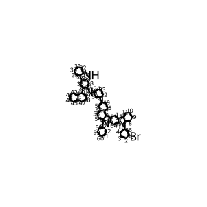 Brc1cccc(-n2c3ccccc3c3cc4c5c6ccc(-c7cccc(-n8c9cc%10[nH]c%11ccccc%11c%10cc9c9c%10ccccc%10ccc98)c7)cc6ccc5n(-c5ccccc5)c4cc32)c1